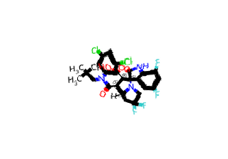 CC(C)(C)CN(C(=O)[C@H]1[C@@H](C(=O)O)[C@]2(C(=O)Nc3c(F)cc(F)cc32)N2CC(F)(F)C[C@@H]12)c1cc(Cl)cc(Cl)c1